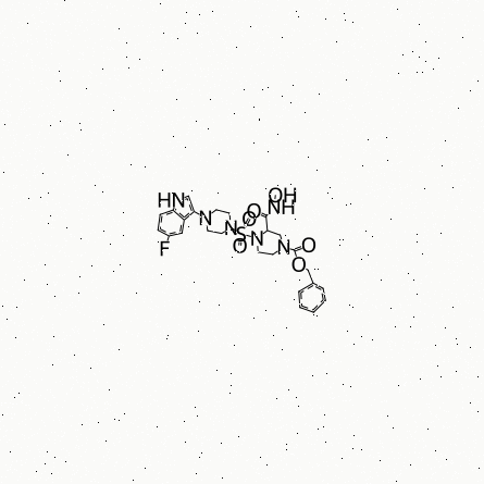 O=C(NO)C1CN(C(=O)OCc2ccccc2)CCN1S(=O)(=O)N1CCN(c2c[nH]c3ccc(F)cc23)CC1